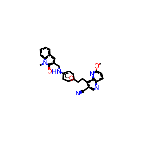 COc1ccc2ncc(C#N)c(CCC34CCC(NCc5cc6ccccc6n(C)c5=O)(CC3)CO4)c2n1